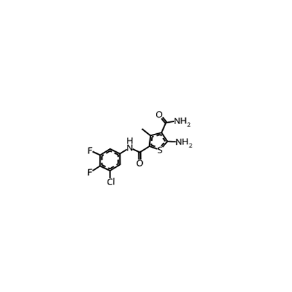 Cc1c(C(=O)Nc2cc(F)c(F)c(Cl)c2)sc(N)c1C(N)=O